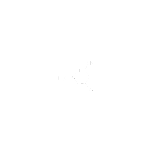 CC(=O)C(CCC#N)CN(C)C